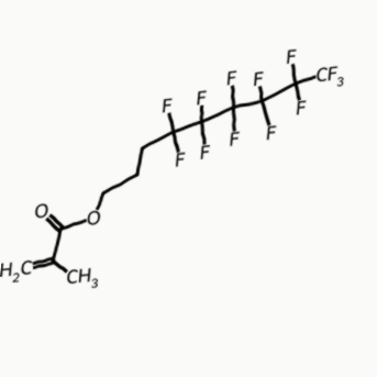 C=C(C)C(=O)OCCCC(F)(F)C(F)(F)C(F)(F)C(F)(F)C(F)(F)C(F)(F)F